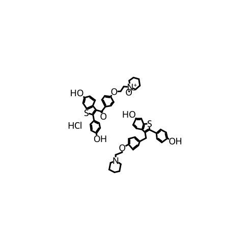 Cl.O=C(c1ccc(OCC[N+]2([O-])CCCCC2)cc1)c1c(-c2ccc(O)cc2)sc2cc(O)ccc12.Oc1ccc(-c2sc3cc(O)ccc3c2Cc2ccc(OCCN3CCCCC3)cc2)cc1